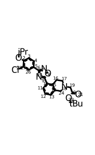 CC(C)Oc1ccc(-c2noc(-c3cccc4c3CCN(CC(=O)OC(C)(C)C)C4)n2)cc1Cl